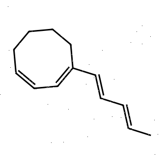 CC=CC=CC1=CC=CCCCC1